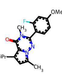 COc1ccc(-c2nn3c(C)cc(C(C)C)c3c(=O)n2C)c(F)c1